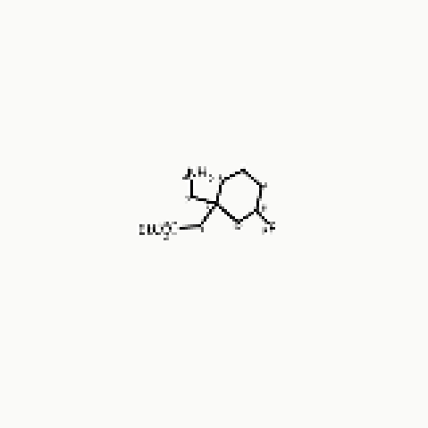 CCOC(=O)CC1(CN)CCCC(F)C1